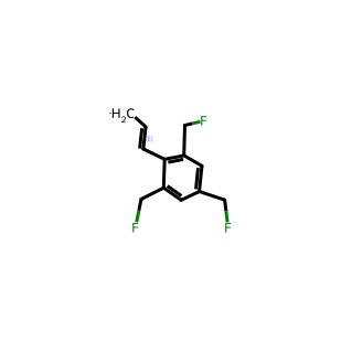 [CH2]/C=C/c1c(CF)cc(CF)cc1CF